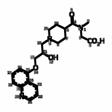 CN(CC(=O)O)C(=O)C1CCN(C[C@@H](O)COc2cccc3ncccc23)CC1